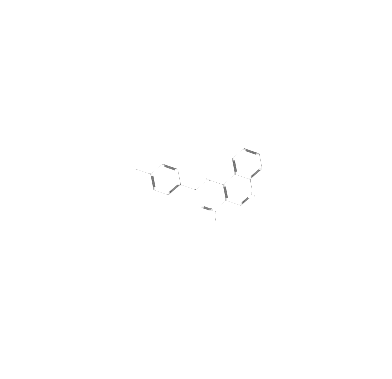 O=[N+]([O-])c1cnc2ccccc2c1NCc1ccc(Cl)cc1